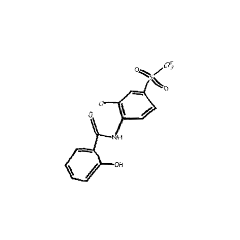 O=C(Nc1ccc(S(=O)(=O)C(F)(F)F)cc1Cl)c1ccccc1O